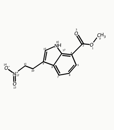 COC(=O)c1cccc2c(CC[N+](=O)[O-])c[nH]c12